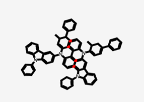 CC1CC(c2ccccc2)=CC=C1N(c1ccc2c(c1)c1ccccc1n2C1=CC=CCC1)c1ccccc1-c1ccccc1N(C1=CC(C)C(c2ccccc2)C=C1)c1ccc2c(c1)c1ccccc1n2-c1ccccc1